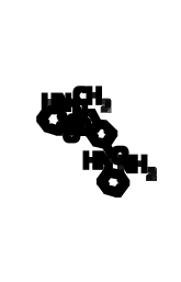 C=C1Nc2ccccc2S(=O)(=O)N1Cc1ccc(C(=O)Nc2ccccc2N)cc1